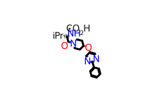 CC(C)[C@H](NC(=O)O)C(=O)N1CCC(Oc2cnc(-c3ccccc3)nc2)CC1